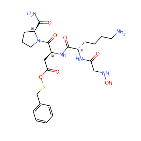 NCCCC[C@H](NC(=O)CNO)C(=O)N[C@@H](CC(=O)OSCc1ccccc1)C(=O)N1CCC[C@H]1C(N)=O